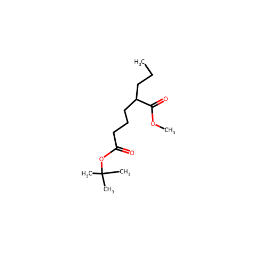 CCCC(CCCC(=O)OC(C)(C)C)C(=O)OC